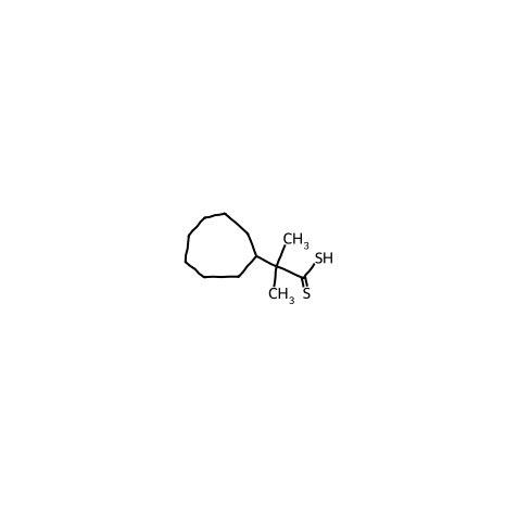 CC(C)(C(=S)S)C1CCCCCCC1